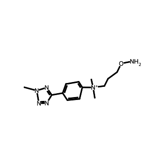 Cn1nnc(-c2ccc([N+](C)(C)CCCON)cc2)n1